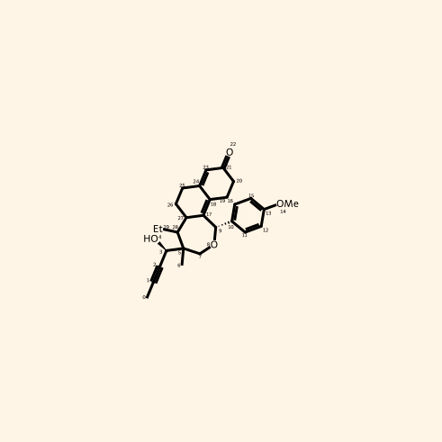 CC#C[C@@H](O)C1(C)CO[C@@H](c2ccc(OC)cc2)C2=C3CCC(=O)C=C3CCC2C1CC